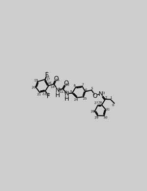 CCC(=NOCc1ccc(NC(=O)NC(=O)c2c(F)cccc2F)cc1)c1ccccc1